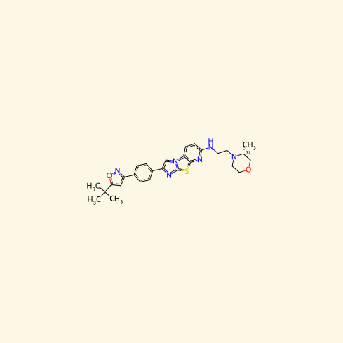 C[C@@H]1COCCN1CCNc1ccc2c(n1)sc1nc(-c3ccc(-c4cc(C(C)(C)C)on4)cc3)cn12